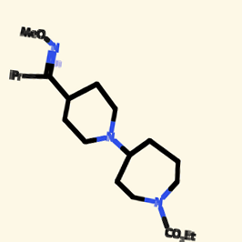 CCOC(=O)N1CCCC(N2CCC(/C(=N/OC)C(C)C)CC2)CC1